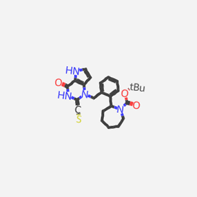 CC(C)(C)OC(=O)N1CCCCCC1c1ccccc1CN1C(=C=S)NC(=O)c2[nH]ccc21